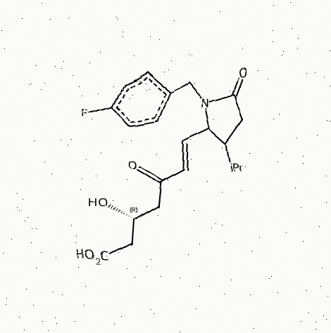 CC(C)C1CC(=O)N(Cc2ccc(F)cc2)C1C=CC(=O)C[C@@H](O)CC(=O)O